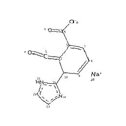 O=C=C1C(C(=O)[O-])=CC=CC1c1ncc[nH]1.[Na+]